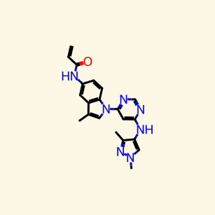 C=CC(=O)Nc1ccc2c(c1)c(C)cn2-c1cc(Nc2cn(C)nc2C)ncn1